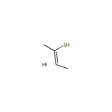 CC=C(C)S.I